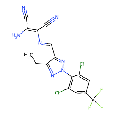 CCc1nn(-c2c(Cl)cc(C(F)(F)F)cc2Cl)nc1/C=N/C(C#N)=C(\N)C#N